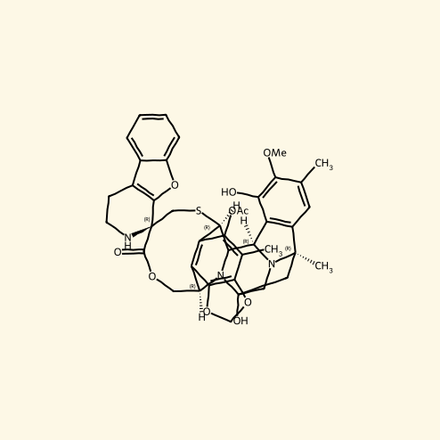 COc1c(C)cc2c(c1O)[C@@H]1C3[C@@H]4SC[C@]5(NCCc6c5oc5ccccc65)C(=O)OC[C@@H](c5c6c(c(C)c(OC(C)=O)c54)OCO6)N3C3(O)CN1[C@]2(C)C3